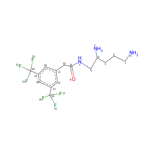 NCCCC(N)CNC(=O)Cc1cc(C(F)(F)F)cc(C(F)(F)F)c1